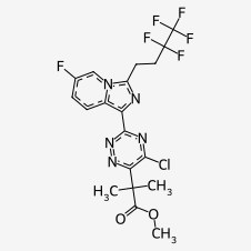 COC(=O)C(C)(C)c1nnc(-c2nc(CCC(F)(F)C(F)(F)F)n3cc(F)ccc23)nc1Cl